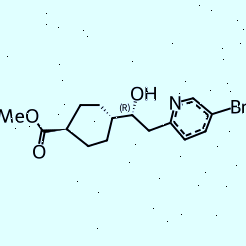 COC(=O)[C@H]1CC[C@H]([C@H](O)Cc2ccc(Br)cn2)CC1